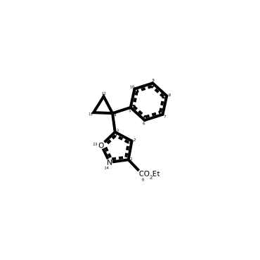 CCOC(=O)c1cc(C2(c3ccccc3)CC2)on1